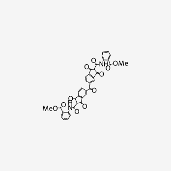 COC(=O)c1ccccc1NC(=O)C1C(=O)c2ccc(C(=O)c3ccc4c(c3)C(=O)C(C(=O)Nc3ccccc3C(=O)OC)C4=O)cc2C1=O